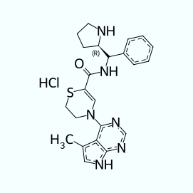 Cc1c[nH]c2ncnc(N3C=C(C(=O)NC(c4ccccc4)[C@H]4CCCN4)SCC3)c12.Cl